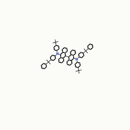 CC(C)(C)c1ccc(N(c2ccc(C(C)(C)c3ccccc3)cc2)c2c3ccccc3c(-c3c4ccccc4c(N(c4ccc(C(C)(C)C)cc4)c4ccc(C(C)(C)c5ccccc5)cc4)c4ccccc34)c3ccccc23)cc1